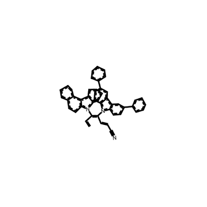 C=C/C(=C(\C=C\C#N)n1c2ccc(-c3ccccc3)cc2c2cc(-c3ccccc3)ccc21)n1c2ccccc2c2c3ccccc3ccc21